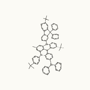 Cc1cc2c3c(c1)N(c1ccc(C(C)(C)C)cc1)c1cc(N(c4ccccc4)c4ccccc4)ccc1B3c1cc(C(C)(C)C)ccc1N2c1ccc2c(c1)C(c1ccccc1)(c1ccccc1)c1cc(C(C)(C)C)ccc1-2